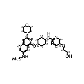 CSNc1cnc2cc(N3CCOCC3)nc(O[C@H]3CC[C@@H](Nc4ncc(OCCO)cn4)CC3)c2c1